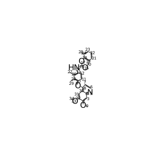 COc1cc2nccc(Oc3ccc(NC(=O)Oc4c(C)cccc4C)c(C)c3C)c2cc1OC